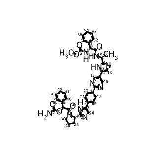 COC(=O)N[C@@H](C(=O)N[C@@H](C)c1ncc(-c2cnc(-c3ccc(-c4cnc([C@@H]5CCCN5C(=O)[C@H](OC(N)=O)c5ccccc5)[nH]4)cc3)nc2)[nH]1)c1ccccc1